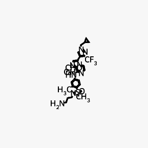 Cc1cc(Nc2nccn3c(-c4cn(CC5CC5)nc4C(F)(F)F)cnc23)ccc1S(C)(=O)=NCCCN.O=CO